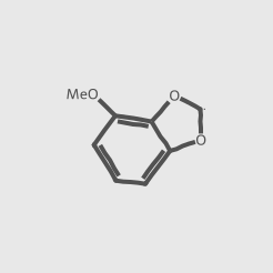 COc1cccc2c1O[CH]O2